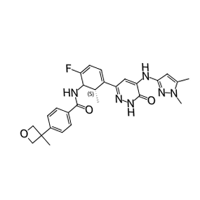 Cc1cc(Nc2cc(C3=CC=C(F)C(NC(=O)c4ccc(C5(C)COC5)cc4)[C@H]3C)n[nH]c2=O)nn1C